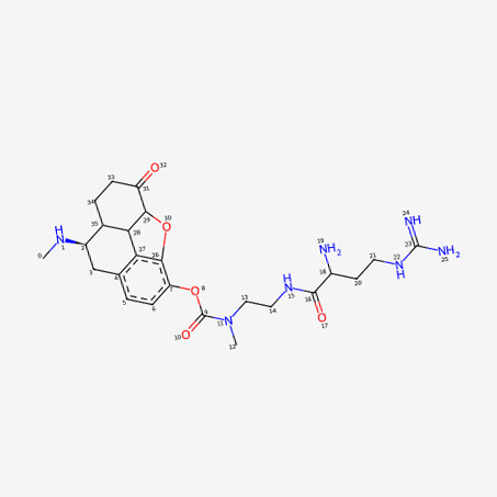 CN[C@@H]1Cc2ccc(OC(=O)N(C)CCNC(=O)C(N)CCNC(=N)N)c3c2C2C(O3)C(=O)CCC21